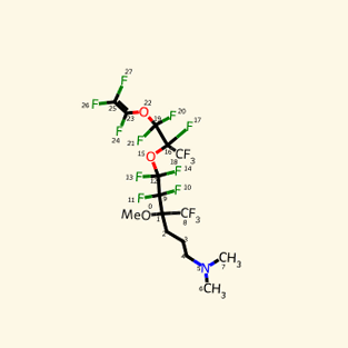 COC(CCCN(C)C)(C(F)(F)F)C(F)(F)C(F)(F)OC(F)(C(F)(F)F)C(F)(F)OC(F)=C(F)F